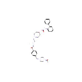 CC(=O)N1CCN(Cc2ccc(C(=O)CNCCN3CCC(OC(=O)Nc4ccccc4-c4ccccc4)CC3)cc2)CC1